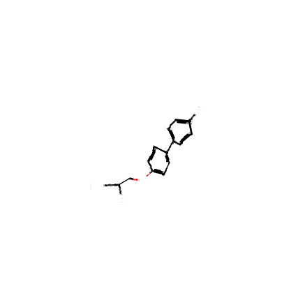 CCC(CC)COc1ccc(-c2ccc(C(C)=O)cc2)cc1